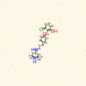 CC1(C)CC(NCCCc2ccc(OCc3c(O)cccc3Cl)cc2)CC(C)(C)N1